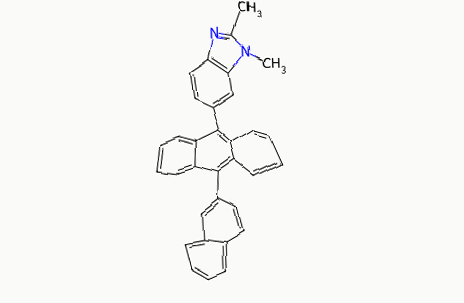 Cc1nc2ccc(-c3c4ccccc4c(-c4ccc5ccccc5c4)c4ccccc34)cc2n1C